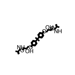 C=C(C)C(=N)OCC(O)COc1ccc(C(C)(C)c2ccc(OCC(O)COC(=N)C(=C)C)cc2)cc1